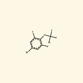 Fc1cc(Br)cc(F)c1OC(F)(F)Br